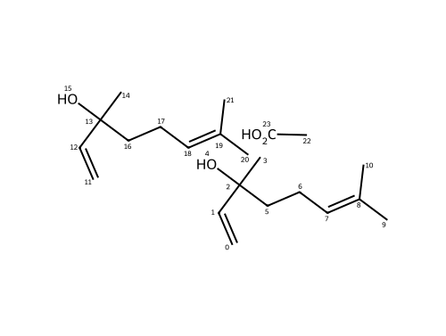 C=CC(C)(O)CCC=C(C)C.C=CC(C)(O)CCC=C(C)C.CC(=O)O